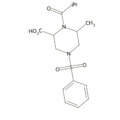 CC(C)C(=O)N1C(C)CN(S(=O)(=O)c2ccccc2)CC1C(=O)O